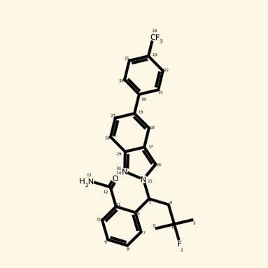 CC(C)(F)CC(c1ccccc1C(N)=O)n1cc2cc(-c3ccc(C(F)(F)F)cc3)ccc2n1